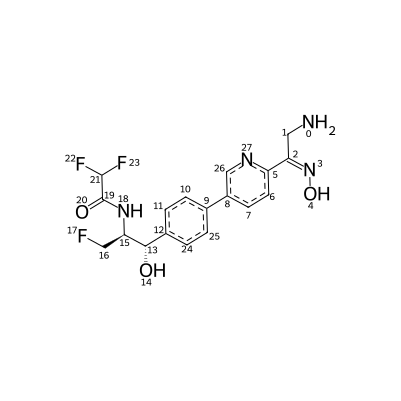 NC/C(=N/O)c1ccc(-c2ccc([C@H](O)[C@@H](CF)NC(=O)C(F)F)cc2)cn1